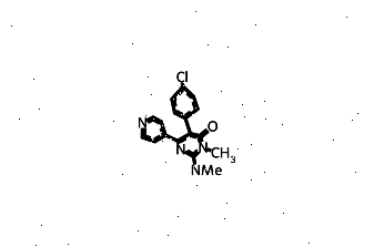 CNc1nc(-c2ccncc2)c(-c2ccc(Cl)cc2)c(=O)n1C